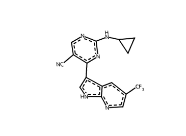 N#Cc1cnc(NC2CC2)nc1-c1c[nH]c2ncc(C(F)(F)F)cc12